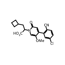 COc1cn(C(CC2CCC2)C(=O)O)c(=O)cc1-c1cc(Cl)ccc1C#N